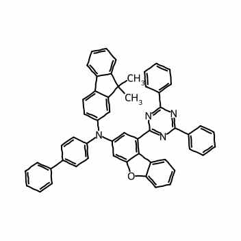 CC1(C)c2ccccc2-c2ccc(N(c3ccc(-c4ccccc4)cc3)c3cc(-c4nc(-c5ccccc5)nc(-c5ccccc5)n4)c4c(c3)oc3ccccc34)cc21